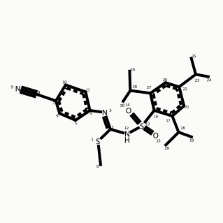 CS/C(=N\c1ccc(C#N)cc1)NS(=O)(=O)c1c(C(C)C)cc(C(C)C)cc1C(C)C